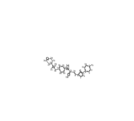 Cc1ccc(-c2ccc(C=CC(=O)Nc3ccc(C[N+](C)(C)C4CCOCC4)cc3)s2)cc1.[I-]